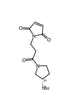 CC(C)(C)[C@H]1CCN(C(=O)CCN2C(=O)C=CC2=O)C1